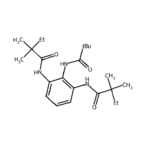 CCC(C)(C)C(=O)Nc1cccc(NC(=O)C(C)(C)CC)c1NC(=O)C(C)(C)C